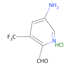 Cl.Nc1cnc(C=O)c(C(F)(F)F)c1